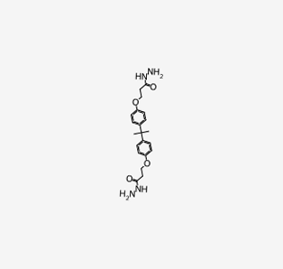 CC(C)(c1ccc(OCCC(=O)NN)cc1)c1ccc(OCCC(=O)NN)cc1